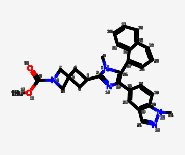 Cn1c(C2CC3(C2)CN(C(=O)OC(C)(C)C)C3)nc(-c2ccc3c(cnn3C)c2)c1-c1cccc2ccccc12